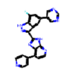 Fc1cc(-c2cncnc2)cc2c(-c3nc4c(-c5ccncc5)ccnc4[nH]3)n[nH]c12